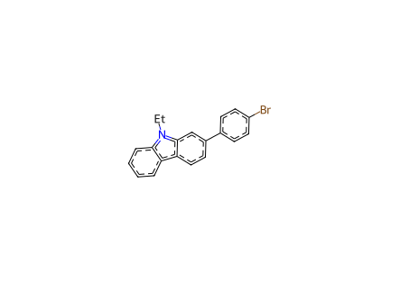 CCn1c2ccccc2c2ccc(-c3ccc(Br)cc3)cc21